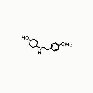 COc1ccc(CCNC2CCC(O)CC2)cc1